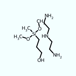 CO[Si](C)(CCCO)OC.NCCNCCN